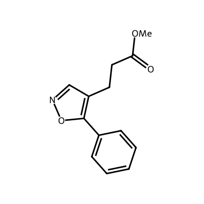 COC(=O)CCc1cnoc1-c1ccccc1